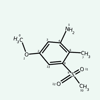 COc1cc(N)c(C)c(S(C)(=O)=O)c1